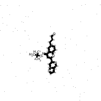 CC(C)(C)ON=c1cc(-c2cc3sccc3cn2)oc2ccc(CCC=O)cc12